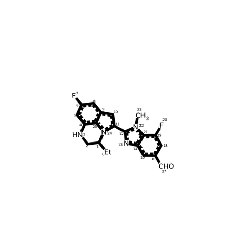 CCC1CNc2cc(F)cc3cc(-c4nc5cc(C=O)cc(F)c5n4C)n1c23